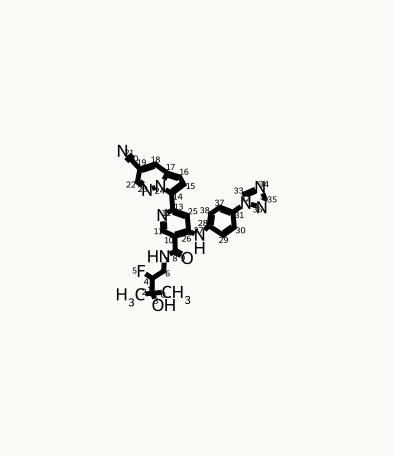 CC(C)(O)C(F)CNC(=O)c1cnc(-c2ccc3cc(C#N)cnn23)cc1Nc1ccc(-n2cncn2)cc1